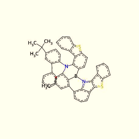 Cc1cc2c3c(c1)N(c1ccc(C(C)(C)C)cc1-c1ccccc1)c1c(ccc4sc5ccccc5c14)B3n1c3c-2cccc3c2sc3ccccc3c21